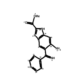 COC(=O)c1nc2cc(C(=N)c3ccncc3)c(N)cc2[nH]1